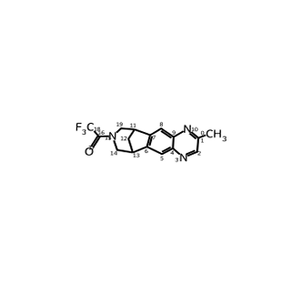 Cc1cnc2cc3c(cc2n1)C1CC3CN(C(=O)C(F)(F)F)C1